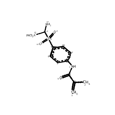 C=C(C)C(=O)Nc1ccc(S(=O)(=O)C(P)C(=O)O)cc1